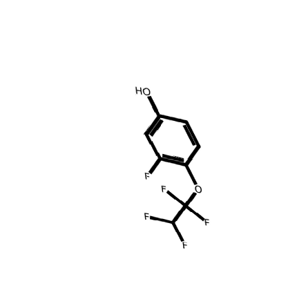 Oc1ccc(OC(F)(F)C(F)F)c(F)c1